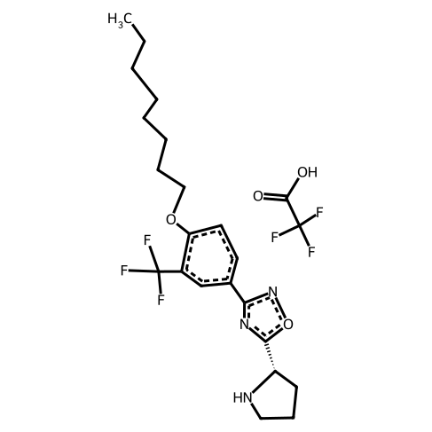 CCCCCCCCOc1ccc(-c2noc([C@@H]3CCCN3)n2)cc1C(F)(F)F.O=C(O)C(F)(F)F